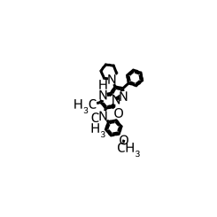 COc1ccc(N(C)c2c(C)[nH]c3c(N4CCCCC4)c(-c4ccccc4)nn3c2=O)cc1